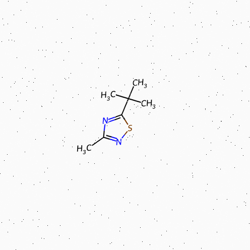 Cc1nsc(C(C)(C)C)n1